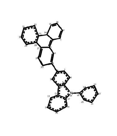 C1=CC2=C3C=C(c4ccc5c(c4)c4ccccc4n5-c4ccccc4)CC=C3c3ccccc3C2C=C1